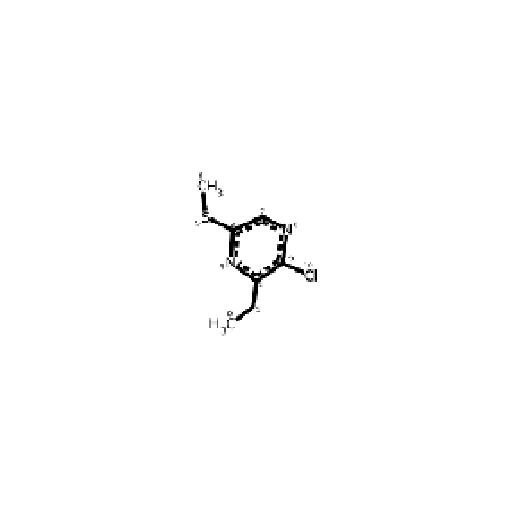 CCc1nc(SC)cnc1Cl